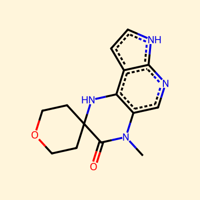 CN1C(=O)C2(CCOCC2)Nc2c1cnc1[nH]ccc21